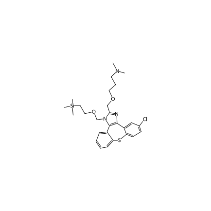 CN(C)CCCOCc1nc2c(n1COCC[Si](C)(C)C)-c1ccccc1Sc1ccc(Cl)cc1-2